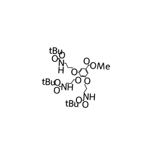 COC(=O)c1cc(OCCCNC(=O)OC(C)(C)C)c(OCCCNC(=O)OC(C)(C)C)c(OCCCNC(=O)OC(C)(C)C)c1